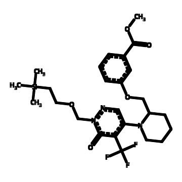 COC(=O)c1cccc(OCC2CCCCN2c2cnn(COCC[Si](C)(C)C)c(=O)c2C(F)(F)F)c1